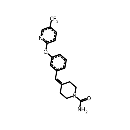 NC(=O)N1CCC(=Cc2cccc(Oc3ccc(C(F)(F)F)cn3)c2)CC1